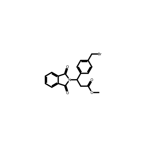 COC(=O)CC(c1ccc(CBr)cc1)N1C(=O)c2ccccc2C1=O